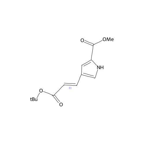 COC(=O)c1cc(/C=C/C(=O)OC(C)(C)C)c[nH]1